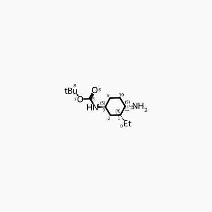 CC[C@@H]1C[C@@H](NC(=O)OC(C)(C)C)CC[C@@H]1N